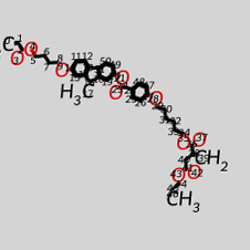 C=CC(=O)OCCCCOc1ccc2c(c1)C(C)c1cc(OC(=O)c3ccc(OCCCCCCOC(=O)C(=C)CC(=O)OCCC)cc3)ccc1-2